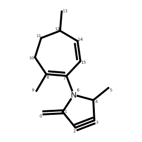 C=C1C#CC(C)N1C1=C(C)CCC(C)C=C1